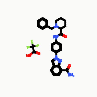 NC(=O)c1cccc2cn(-c3ccc(NC(=O)C4CCCCN4Cc4ccccc4)cc3)nc12.O=C(O)C(F)(F)F